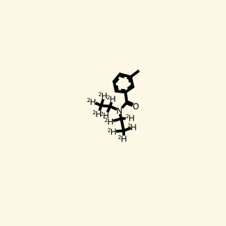 [2H]C([2H])([2H])C([2H])([2H])N(C(=O)c1cccc(C)c1)C([2H])([2H])C([2H])([2H])[2H]